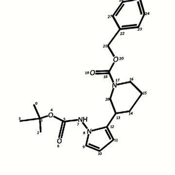 CC(C)(C)OC(=O)Nn1cccc1C1CCCN(C(=O)OCc2ccccc2)C1